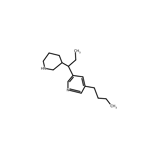 CCCCc1cncc(C(CC)C2CCCNC2)c1